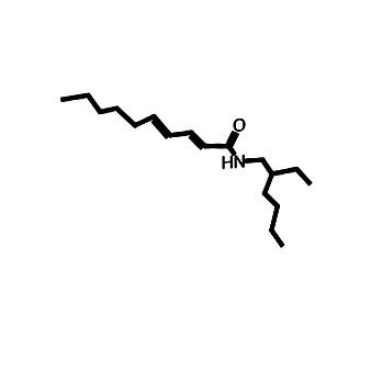 CCCCC/C=C/C=C/C(=O)NCC(CC)CCCC